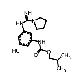 CC(C)COC(=O)Nc1cccc(NC(=N)N2CCCC2)c1.Cl